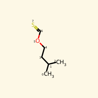 CC(C)CCO[C]=S